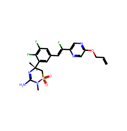 C=CCOc1cnc(/C(F)=C/c2cc(F)c(F)c([C@]3(C)CS(=O)(=O)N(C)C(N)=N3)c2)cn1